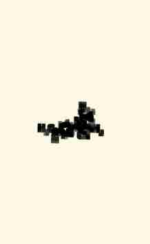 CBc1ccc(-c2nn(C3(C)CC3)c(N)c2C#N)nc1